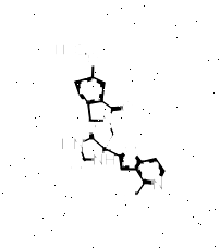 COc1ccc2c(c1)C(=O)N(C[C@@]1(c3cc4c(Cl)nccc4o3)NC(=O)NC1=O)C2